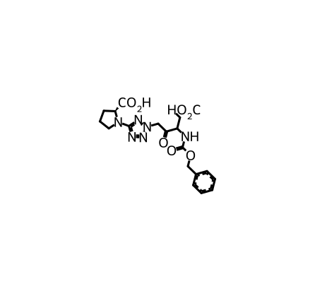 O=C(O)CC(NC(=O)OCc1ccccc1)C(=O)Cn1nnc(N2CCC[C@H]2C(=O)O)n1